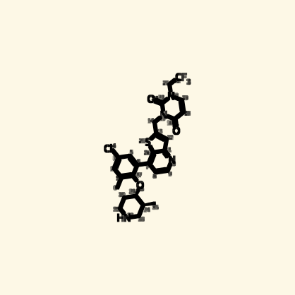 Cc1cc(Cl)cc(-c2ccnc3cc(Cn4c(=O)ccn(CC(F)(F)F)c4=O)sc23)c1O[C@@H]1CCNC[C@@H]1C